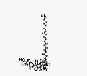 CCC=CCC=CCC=CCC=CCC=CCC=CCCCSC(CC)(CC)C(=O)NC(CC(C)C)C(=O)Nc1ccc(O)c(C(=O)O)c1